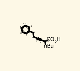 CCCCC(C#CCCc1ccccc1)C(=O)O